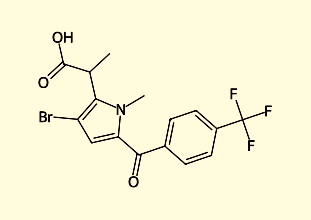 CC(C(=O)O)c1c(Br)cc(C(=O)c2ccc(C(F)(F)F)cc2)n1C